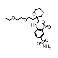 CCOCCOCCC1(CNc2ccc(S(N)(=O)=O)cc2[N+](=O)[O-])CNCCO1